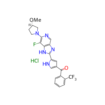 CO[C@H]1CCN(c2ncc3nc(-c4cc(C(=O)c5ccccc5C(F)(F)F)c[nH]4)[nH]c3c2F)C1.Cl